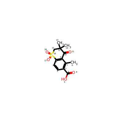 Cc1c(C(=O)O)ccc2c1C(=O)C(C)(C)CS2(=O)=O